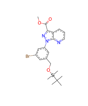 COC(=O)c1nn(-c2cc(Br)cc(CO[Si](C)(C)C(C)(C)C)c2)c2ncccc12